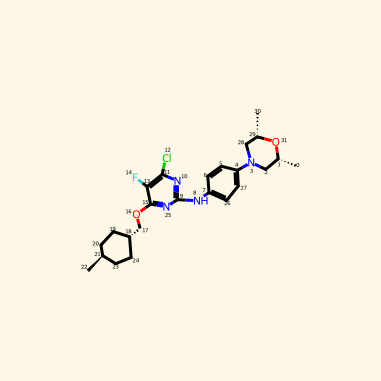 C[C@@H]1CN(c2ccc(Nc3nc(Cl)c(F)c(OC[C@H]4CC[C@H](C)CC4)n3)cc2)C[C@H](C)O1